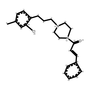 Cc1ccc(CCCN2CCN(C(=O)/C=C/c3ccccc3)CC2)c(Cl)c1